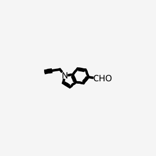 C#CCn1ccc2cc(C=O)ccc21